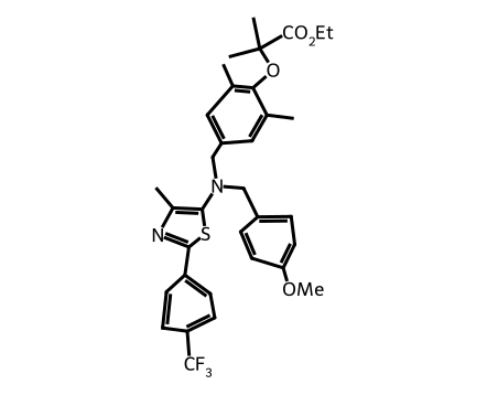 CCOC(=O)C(C)(C)Oc1c(C)cc(CN(Cc2ccc(OC)cc2)c2sc(-c3ccc(C(F)(F)F)cc3)nc2C)cc1C